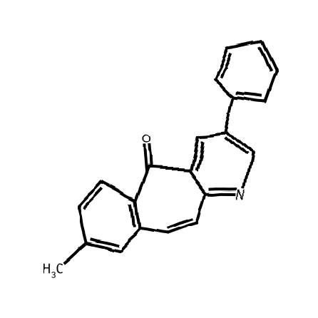 Cc1ccc2c(=O)c3cc(-c4ccccc4)cnc3ccc2c1